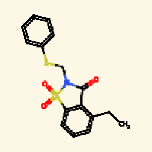 CCc1cccc2c1C(=O)N(CSc1ccccc1)S2(=O)=O